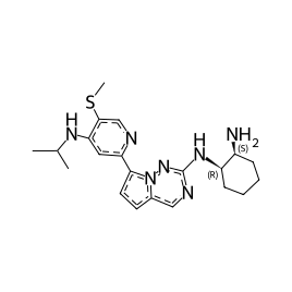 CSc1cnc(-c2ccc3cnc(N[C@@H]4CCCC[C@@H]4N)nn23)cc1NC(C)C